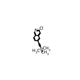 CS(C)(C)C#Cc1ccc2cnc(Cl)cc2c1